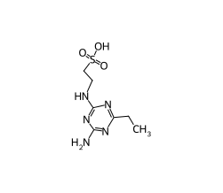 CCc1nc(N)nc(NCCS(=O)(=O)O)n1